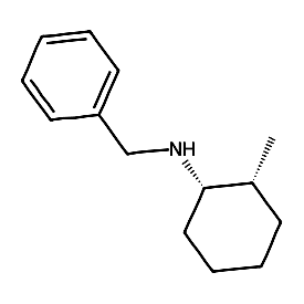 C[C@@H]1CCCC[C@@H]1NCc1ccccc1